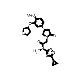 COc1ccc([C@@H]2CC(=O)N(CC(=O)N(C)c3nnc(C4CC4)s3)C2)cc1O[C@@H]1CCOC1